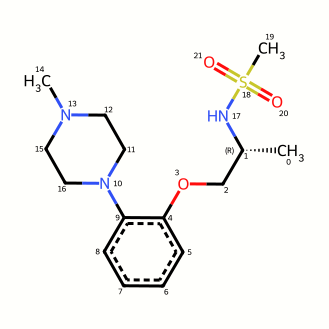 C[C@H](COc1ccccc1N1CCN(C)CC1)NS(C)(=O)=O